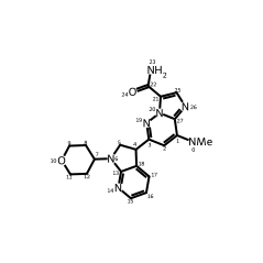 CNc1cc(C2CN(C3CCOCC3)c3ncccc32)nn2c(C(N)=O)cnc12